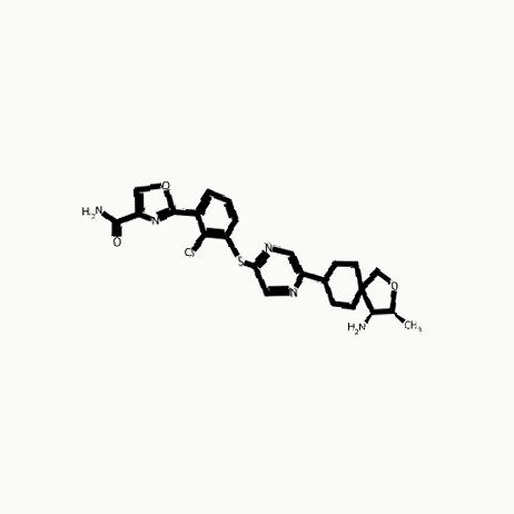 C[C@@H]1OCC2(CCC(c3cnc(Sc4cccc(-c5nc(C(N)=O)co5)c4Cl)cn3)CC2)[C@@H]1N